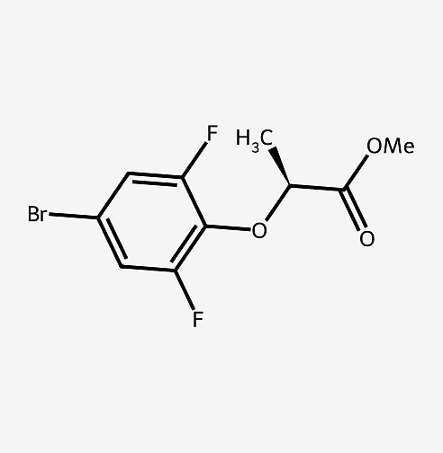 COC(=O)[C@H](C)Oc1c(F)cc(Br)cc1F